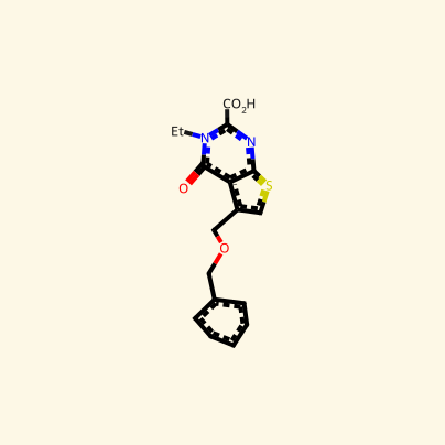 CCn1c(C(=O)O)nc2scc(COCc3ccccc3)c2c1=O